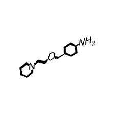 N[C@H]1CC[C@@H](COCCN2CCCCC2)CC1